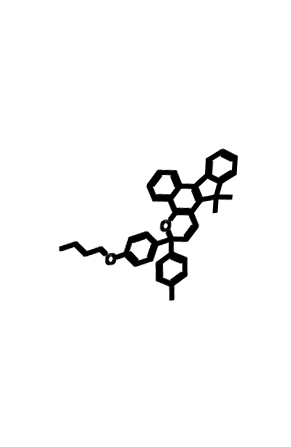 CCCCOc1ccc(C2(c3ccc(C)cc3)C=Cc3c4c(c5ccccc5c3O2)-c2ccccc2C4(C)C)cc1